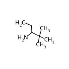 [CH2]CC(N)C(C)(C)C